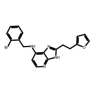 Brc1ccccc1CNc1ccnc2[nH]c(CCc3ccco3)nc12